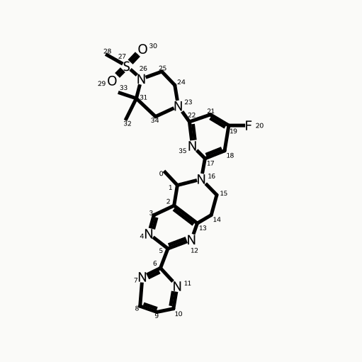 CC1c2cnc(-c3ncccn3)nc2CCN1c1cc(F)cc(N2CCN(S(C)(=O)=O)C(C)(C)C2)n1